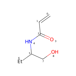 C=CC(=O)NC(CC)CO